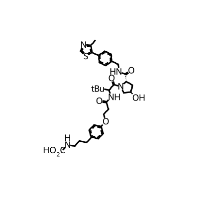 Cc1ncsc1-c1ccc(CNC(=O)[C@@H]2C[C@@H](O)CN2C(=O)C(NC(=O)CCOc2ccc(CCCNC(=O)O)cc2)C(C)(C)C)cc1